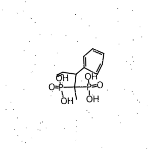 C=CC(c1ccccc1)C(C)(P(=O)(O)O)P(=O)(O)O